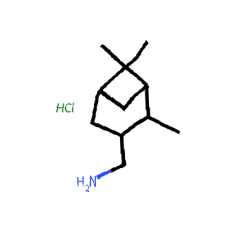 CC1C(CN)CC2CC1C2(C)C.Cl